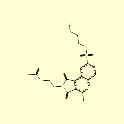 CC(=O)OCCN1C(=O)c2c(C)nc3ccc(S(=O)(=O)NCCCO)cc3c2C1=O